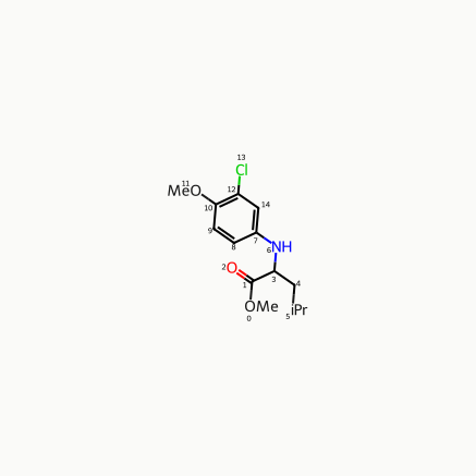 COC(=O)C(CC(C)C)Nc1ccc(OC)c(Cl)c1